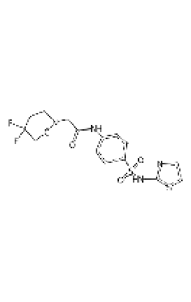 O=C(CN1CCC(F)(F)CC1)Nc1ccc(S(=O)(=O)Nc2nccs2)cc1